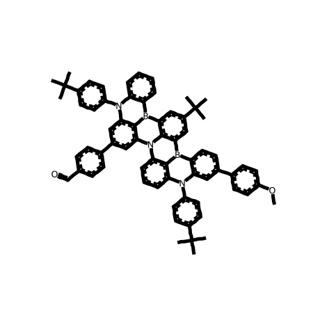 COc1ccc(-c2ccc3c(c2)N(c2ccc(C(C)(C)C)cc2)c2cccc4c2B3c2cc(C(C)(C)C)cc3c2N4c2cc(-c4ccc(C=O)cc4)cc4c2B3c2ccccc2N4c2ccc(C(C)(C)C)cc2)cc1